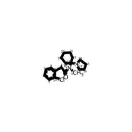 CN(C(=O)Cc1ccccc1Cl)C1(N2CCCC2)CCCCC1